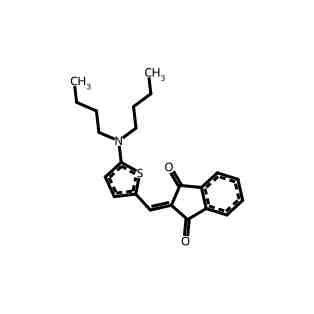 CCCCN(CCCC)c1ccc(C=C2C(=O)c3ccccc3C2=O)s1